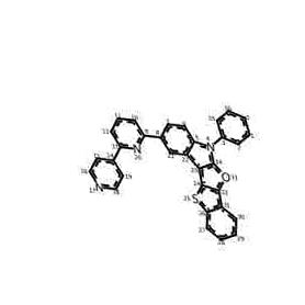 c1ccc(-n2c3ccc(-c4cccc(-c5ccncc5)n4)cc3c3c4sc5ccccc5c4oc32)cc1